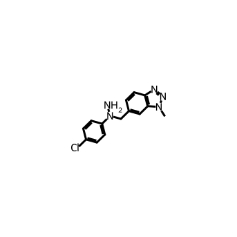 Cn1nnc2ccc(CN(N)c3ccc(Cl)cc3)cc21